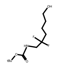 CC(C)(C)OC(=O)NCC(F)(F)CCCCO